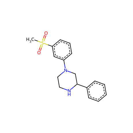 CS(=O)(=O)c1cccc(N2CCNC(c3ccccc3)C2)c1